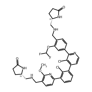 COc1nc(-c2cccc(-c3ccnc(-c4ccc(CNC[C@@H]5CCC(=O)N5)c(OC(F)F)c4)c3Cl)c2Cl)ccc1CNC[C@@H]1CCC(=O)N1